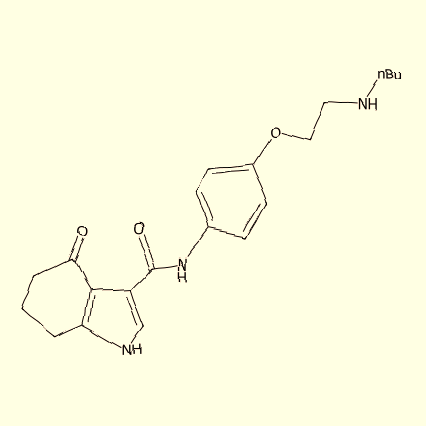 CCCCNCCOc1ccc(NC(=O)c2c[nH]c3c2C(=O)CCC3)cc1